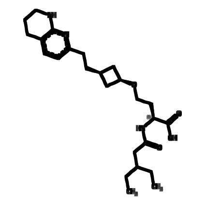 CCC(CC)CC(=O)N[C@@H](CCO[C@H]1C[C@@H](CCc2ccc3c(n2)NCCC3)C1)C(=O)O